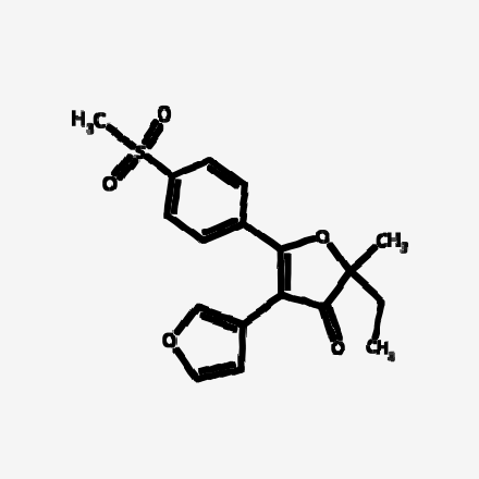 CCC1(C)OC(c2ccc(S(C)(=O)=O)cc2)=C(c2ccoc2)C1=O